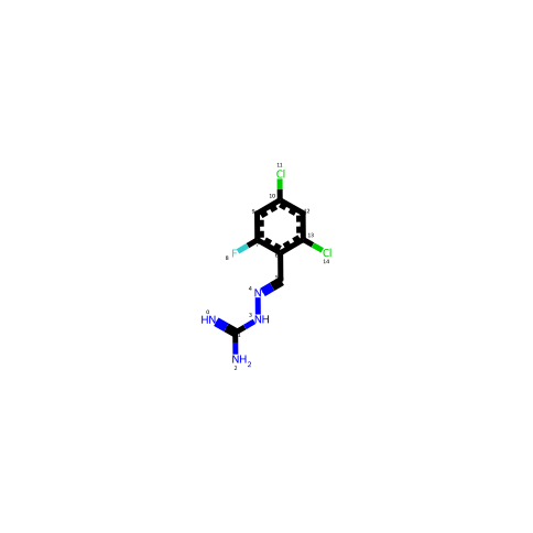 N=C(N)NN=Cc1c(F)cc(Cl)cc1Cl